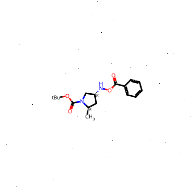 C[C@@H]1C[C@@H](NOC(=O)c2ccccc2)CN1C(=O)OC(C)(C)C